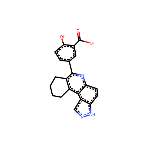 O=C(O)c1cc(-c2nc3ccc4[nH]ncc4c3c3c2CCCC3)ccc1O